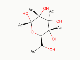 CC(=O)C(O)[C@H]1O[C@@](O)(C(C)=O)[C@@](O)(C(C)=O)[C@](O)(C(C)=O)[C@@]1(O)C(C)=O